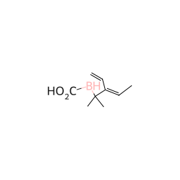 C=C/C(=C\C)C(C)(C)BC(=O)O